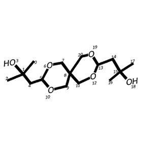 CC(C)(O)CC1OCC2(CO1)COC(CC(C)(C)O)OC2